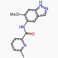 COc1cc2[nH]ncc2cc1NC(=O)c1cccc(C)n1